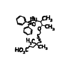 CC(CO[Si](c1ccccc1)(c1ccccc1)C(C)(C)C)C(C)OCSSC(C)(C)CCC(=O)O